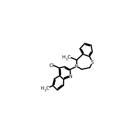 Cc1ccc2nc(N3CCSc4ccccc4C3C)cc(Cl)c2c1